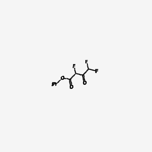 CC(C)OC(=O)C(F)C(=O)C(F)F